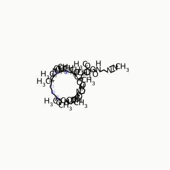 C/N=C1/[C@H](C)C[C@H](C)/C=C/C=C/C=C(\C)[C@@H](OC)C[C@@H]2CC[C@@H](C)[C@@](O)(O2)C(=O)C(=O)N2CCCC[C@H]2C(=O)O[C@H]([C@H](C)C[C@@H]2CC[C@@H](OC(=O)NCCCN3CCN(C)CC3)[C@H](OC)C2)C[C@@H](OC)[C@H](C)/C=C(\C)[C@@H](O)[C@H]1OC